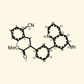 COC(=O)C(Cc1ccccc1C#N)c1cccc(-c2cc(C(C)C)cc3cccnc23)c1